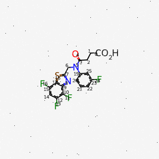 O=C(O)CCC(=O)N(Cc1nc2c(F)c(F)cc(F)c2s1)c1cccc(F)c1